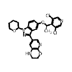 C[C@@H](Oc1ccc2c(c1)c(-c1cnc3c(c1)NCCO3)nn2C1CCCCO1)c1c(Cl)cncc1Cl